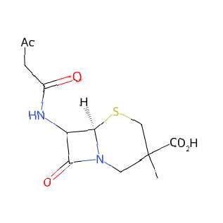 CC(=O)CC(=O)NC1C(=O)N2CC(C)(C(=O)O)CS[C@H]12